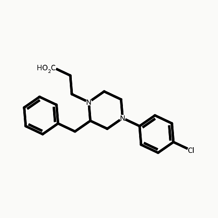 O=C(O)CCN1CCN(c2ccc(Cl)cc2)CC1Cc1ccccc1